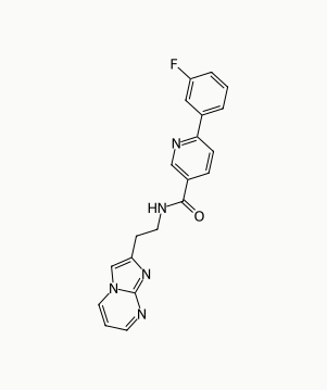 O=C(NCCc1cn2cccnc2n1)c1ccc(-c2cccc(F)c2)nc1